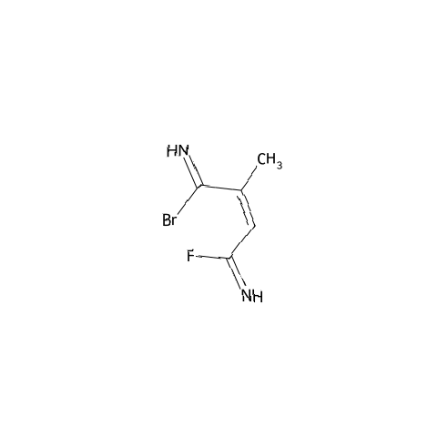 C/C(=C/C(=N)F)C(=N)Br